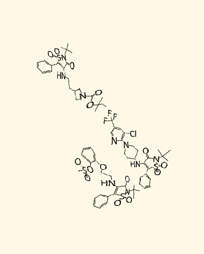 CC(C)(C)N1C(=O)C(NC2CCN(c3ncc(C(F)(F)F)cc3Cl)CC2)=C(c2ccccc2)S1(=O)=O.CC(C)(C)N1C(=O)C(NCCOc2ccccc2OS(C)(=O)=O)=C(c2ccccc2)S1(=O)=O.CC(C)(C)OC(=O)N1CC(CCNC2=C(c3ccccc3)S(=O)(=O)N(C(C)(C)C)C2=O)C1